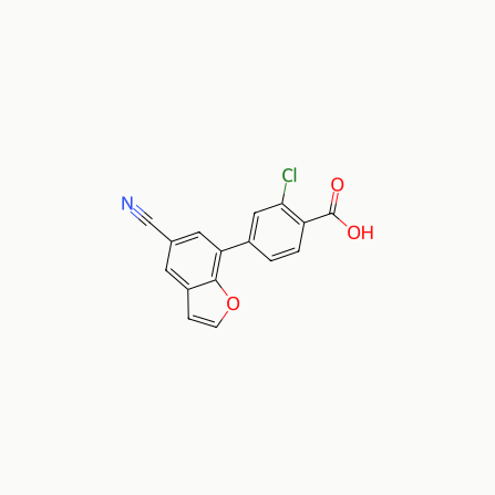 N#Cc1cc(-c2ccc(C(=O)O)c(Cl)c2)c2occc2c1